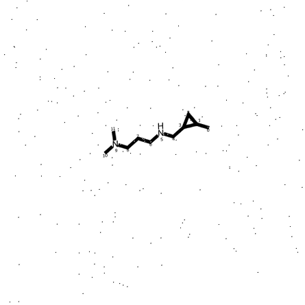 CC1CC1CNCCCN(C)C